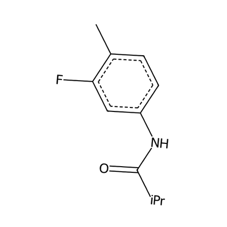 Cc1ccc(NC(=O)C(C)C)cc1F